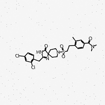 Cc1cc(C(=O)N(C)C)ccc1CCS(=O)(=O)N1CCC2(CC1)N=C(Cc1ccc(Cl)cc1Cl)NC2=O